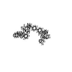 O=C(N[C@@H](C(=O)N1CCC[C@H]1c1ncc(-c2ccc(-c3ccc(-c4cnc([C@@H]5CCCN5C(=O)[C@@H]5CCCO5)[nH]4)cc3)cc2)[nH]1)c1ccccc1)N1CCOCC1